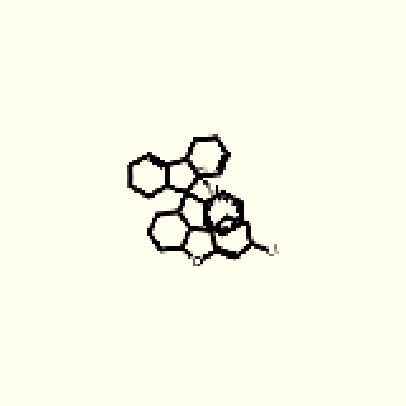 ClC1C=C2OC3CCCC(C4(c5ccccc5)C5CCCC=C5C5CCC=C[C@@H]54)C3C2CC1